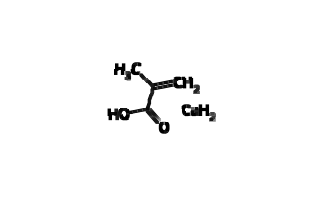 C=C(C)C(=O)O.[CaH2]